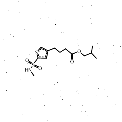 CNS(=O)(=O)c1cc(CCCC(=O)OCC(C)C)cs1